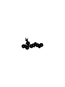 CC1(C)c2ccccc2-c2cc3c(cc21)-c1cc2ccc(N(c4ccc(C#N)cc4)c4cccc5c4oc4ccccc45)cc2cc1C3(C)C